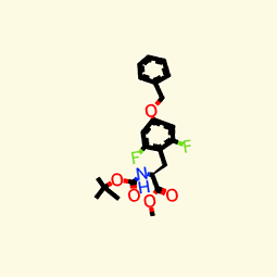 COC(=O)[C@H](Cc1c(F)cc(OCc2ccccc2)cc1F)NC(=O)OC(C)(C)C